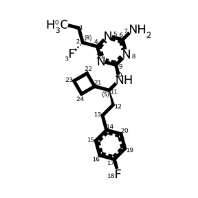 CC[C@@H](F)c1nc(N)nc(N[C@@H](CCc2ccc(F)cc2)C2CCC2)n1